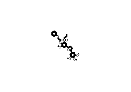 CCCS(=O)(=O)c1cc(C2CCC(c3cc(OC)c(OC)c(OC)c3)O2)cc(OC)c1OCCSc1ccccc1